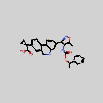 Cc1onc(-c2ccc3c(c2)NCc2cc(C4(C(=O)O)CC4)ccc2-3)c1NC(=O)OC(C)c1ccccc1